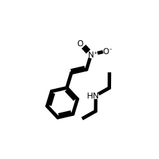 CCNCC.O=[N+]([O-])C=Cc1ccccc1